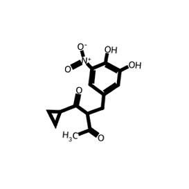 CC(=O)C(Cc1cc(O)c(O)c([N+](=O)[O-])c1)C(=O)C1CC1